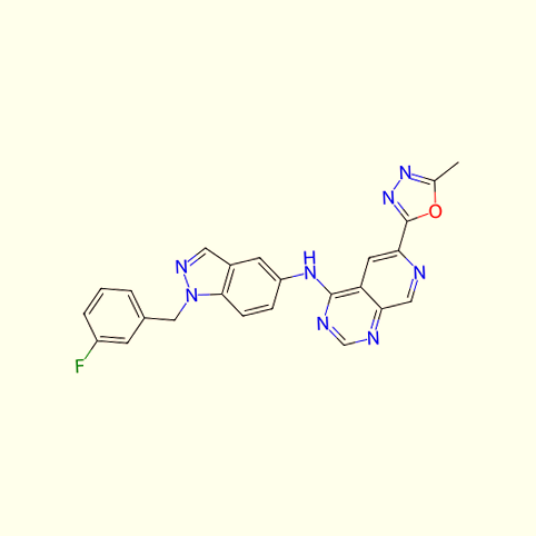 Cc1nnc(-c2cc3c(Nc4ccc5c(cnn5Cc5cccc(F)c5)c4)ncnc3cn2)o1